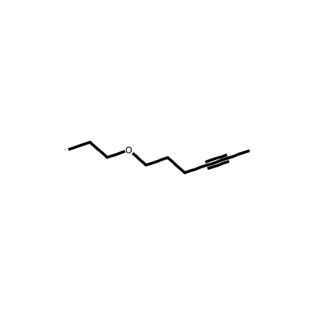 [CH2]CCOCCCC#CC